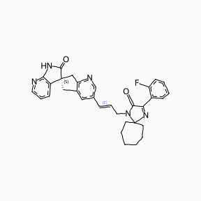 O=C1C(c2ccccc2F)=NC2(CCCCCC2)N1C/C=C/c1cnc2c(c1)C[C@@]1(C2)C(=O)Nc2ncccc21